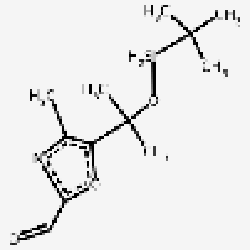 Cc1nc(C=O)oc1C(C)(C)O[SiH2]C(C)(C)C